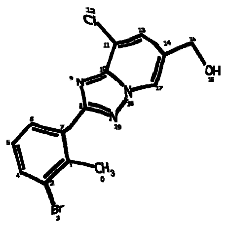 Cc1c(Br)cccc1-c1nc2c(Cl)cc(CO)cn2n1